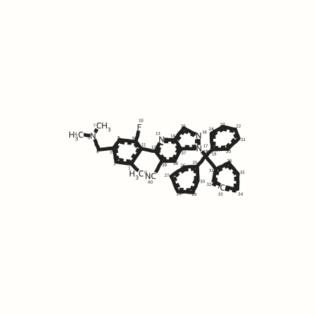 Cc1cc(CN(C)C)cc(F)c1-c1nc2cnn(C(c3ccccc3)(c3ccccc3)c3ccccc3)c2cc1C#N